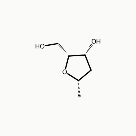 C[C@H]1C[C@@H](O)[C@@H](CO)O1